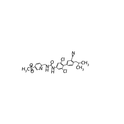 CC(C)Cc1ccc(-c2c(Cl)cc(NC(=O)NCc3ccc(S(C)(=O)=O)cn3)cc2Cl)cc1C#N